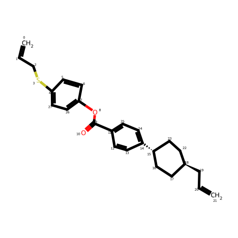 C=CCSc1ccc(OC(=O)c2ccc([C@H]3CC[C@H](CC=C)CC3)cc2)cc1